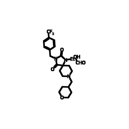 CCN1C(=O)N(Cc2ccc(C(F)(F)F)cc2)C(=O)C12CCN(CC1CCOCC1)CC2.O=CO